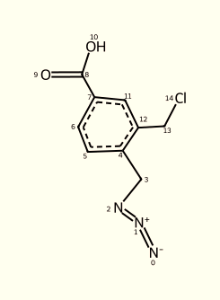 [N-]=[N+]=NCc1ccc(C(=O)O)cc1CCl